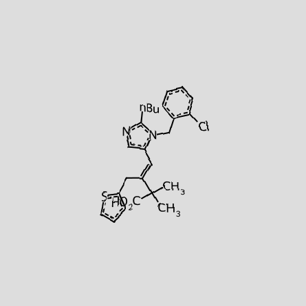 CCCCc1ncc(/C=C(\Cc2cccs2)C(C)(C)C(=O)O)n1Cc1ccccc1Cl